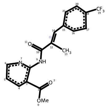 COC(=O)c1cccnc1NC(=O)/C(C)=C/c1ccc(C(F)(F)F)cc1